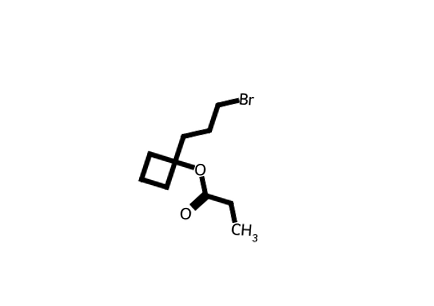 CCC(=O)OC1(CCCBr)CCC1